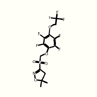 CC1(C)CC(S(=O)(=O)COc2c(F)c(F)c(OCC(F)(F)F)c(F)c2F)=NO1